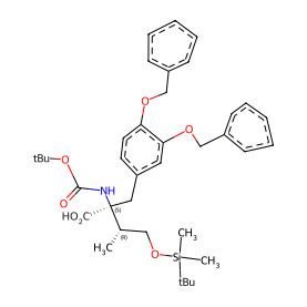 C[C@@H](CO[Si](C)(C)C(C)(C)C)[C@](Cc1ccc(OCc2ccccc2)c(OCc2ccccc2)c1)(NC(=O)OC(C)(C)C)C(=O)O